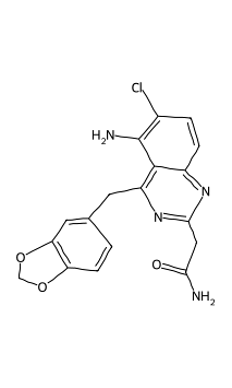 NC(=O)Cc1nc(Cc2ccc3c(c2)OCO3)c2c(N)c(Cl)ccc2n1